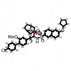 COc1cc(C(F)(F)[C@H](NS(=O)(=O)c2ccc3cc(OC4CCCC4)ccc3c2)C(=O)N2C3CCC2CC(N)C3)ccc1-c1ccc(Cl)cc1